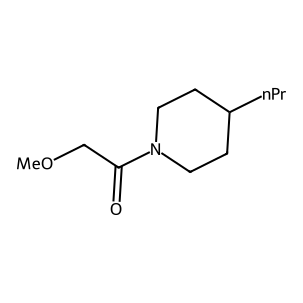 CCCC1CCN(C(=O)COC)CC1